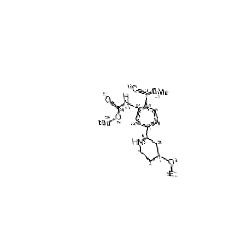 CCOC1CCNC(c2ccc(C(=O)OC)c(NC(=O)OC(C)(C)C)c2)C1